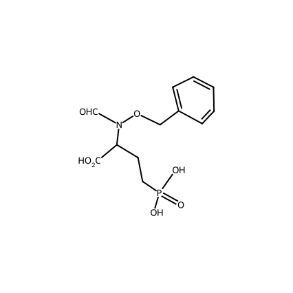 O=CN(OCc1ccccc1)C(CCP(=O)(O)O)C(=O)O